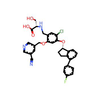 N#Cc1cncc(COc2cc(O[C@H]3CCc4c(-c5ccc(F)cc5)cccc43)c(Cl)cc2CN[C@@H](CO)C(=O)O)c1